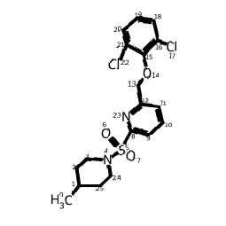 CC1CCN(S(=O)(=O)c2cccc(COc3c(Cl)cccc3Cl)n2)CC1